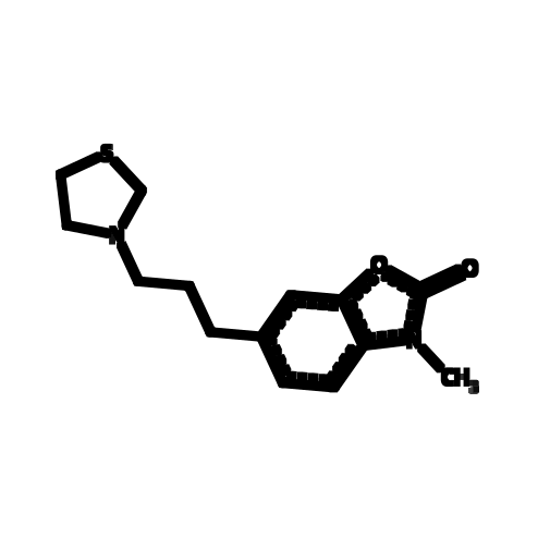 Cn1c(=O)oc2cc(CCCN3CCSC3)ccc21